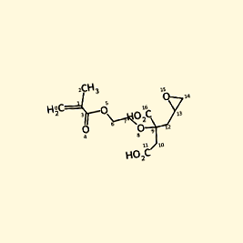 C=C(C)C(=O)OCCOC(CC(=O)O)(CC1CO1)C(=O)O